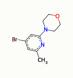 Cc1cc(Br)cc(N2CCOCC2)n1